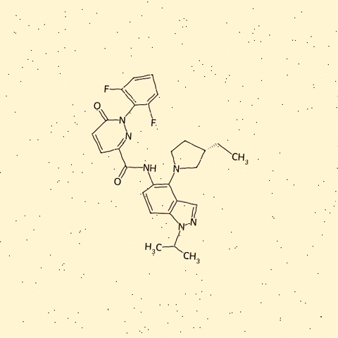 CC[C@H]1CCN(c2c(NC(=O)c3ccc(=O)n(-c4c(F)cccc4F)n3)ccc3c2cnn3C(C)C)C1